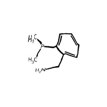 CP(C)c1ccccc1CN